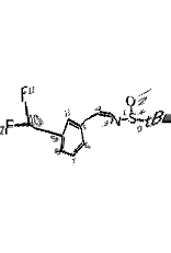 CC(C)(C)[S+]([O-])/N=C/c1cccc(C(F)F)c1